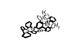 Cc1cc(-c2cccc(C)c2Nc2ccccc2C)c2c(c1)N1c3ccccc3S3(c4ccccc4-c4ccccc43)c3cccc(c31)B2